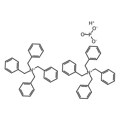 [H+].[O-]P([O-])[O-].c1ccc(C[N+](Cc2ccccc2)(Cc2ccccc2)Cc2ccccc2)cc1.c1ccc(C[N+](Cc2ccccc2)(Cc2ccccc2)Cc2ccccc2)cc1